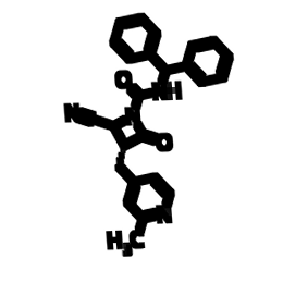 Cc1cc(C[C@H]2C(=O)N(C(=O)NC(c3ccccc3)c3ccccc3)C2C#N)ccn1